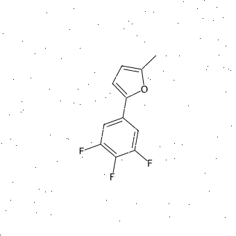 Cc1ccc(-c2cc(F)c(F)c(F)c2)o1